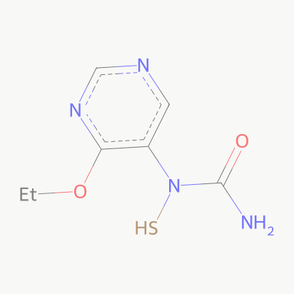 CCOc1ncncc1N(S)C(N)=O